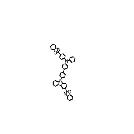 c1ccc(N(c2ccc(-c3ccc(-n4c5ccccc5c5cc(-c6nc7ccccc7o6)ccc54)cc3)cc2)c2ccc(-c3nc4ccccc4o3)cc2)cc1